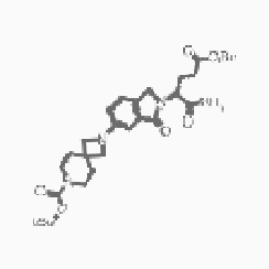 CC(C)COC(=O)CCC(C(N)=O)N1Cc2ccc(N3CC4(CCN(C(=O)OC(C)(C)C)CC4)C3)cc2C1=O